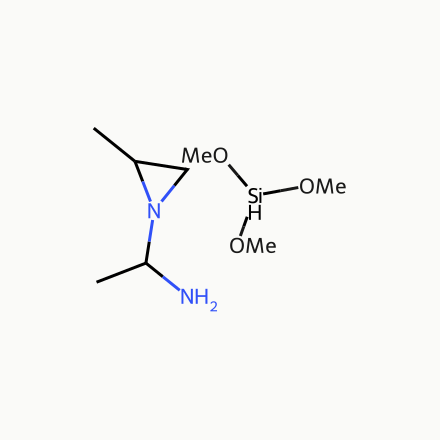 CC(N)N1CC1C.CO[SiH](OC)OC